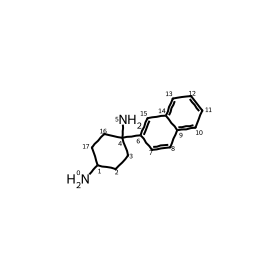 NC1CCC(N)(c2ccc3ccccc3c2)CC1